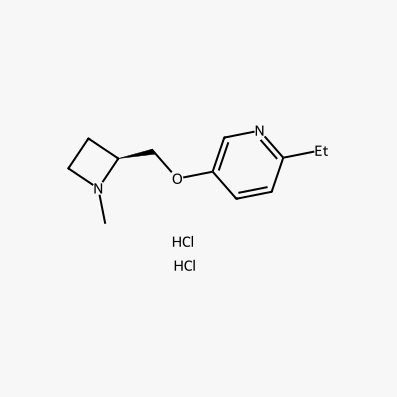 CCc1ccc(OC[C@@H]2CCN2C)cn1.Cl.Cl